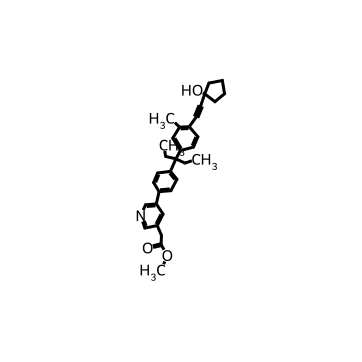 CCC(CC)(c1ccc(-c2cncc(CC(=O)OC)c2)cc1)c1ccc(C#CC2(O)CCCC2)c(C)c1